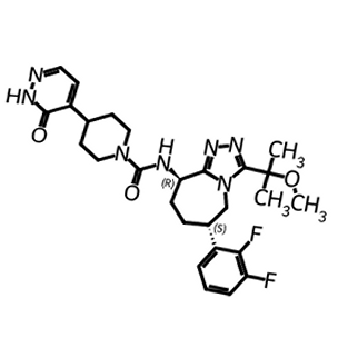 COC(C)(C)c1nnc2n1C[C@H](c1cccc(F)c1F)CC[C@H]2NC(=O)N1CCC(c2ccn[nH]c2=O)CC1